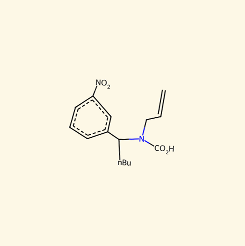 C=CCN(C(=O)O)C(CCCC)c1cccc([N+](=O)[O-])c1